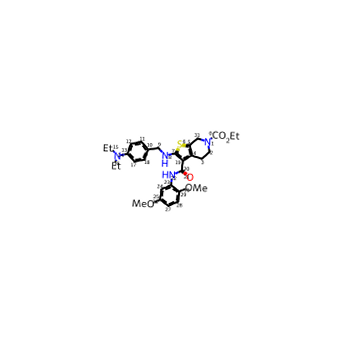 CCOC(=O)N1CCc2c(sc(NCc3ccc(N(CC)CC)cc3)c2C(=O)Nc2cc(OC)ccc2OC)C1